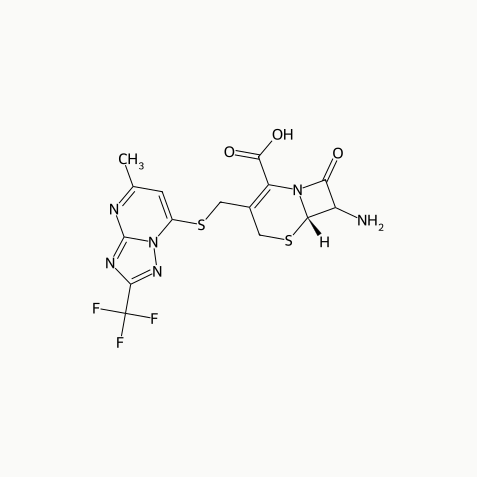 Cc1cc(SCC2=C(C(=O)O)N3C(=O)C(N)[C@@H]3SC2)n2nc(C(F)(F)F)nc2n1